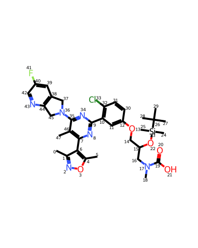 Cc1noc(C)c1-c1nc(-c2cc(OCC(CN(C)C(=O)O)O[Si](C)(C)C(C)(C)C)ccc2Cl)nc(N2Cc3cc(F)cnc3C2)c1C